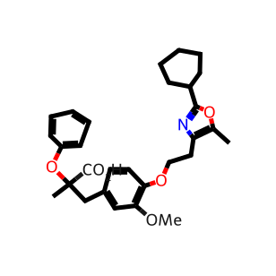 COc1cc(CC(C)(Oc2ccccc2)C(=O)O)ccc1OCCc1nc(C2CCCCC2)oc1C